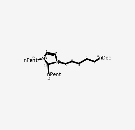 CCCCCCCCCCCCCCCN1C=CN(CCCCC)C1CCCCC